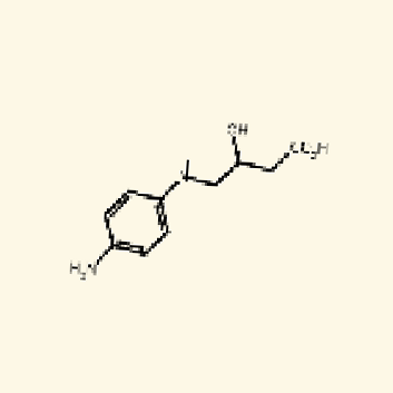 Nc1ccc(NCC(O)CC(=O)O)cc1